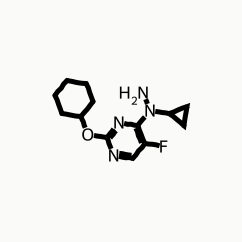 NN(c1nc(OC2CCCCC2)ncc1F)C1CC1